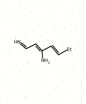 CC/C=C/C(N)=C/C=N